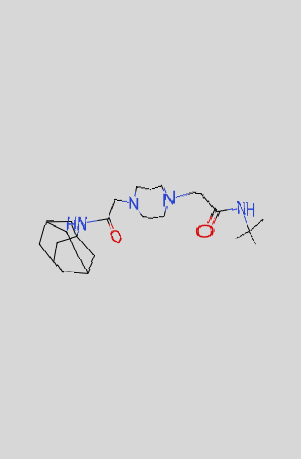 CC(C)(C)NC(=O)CN1CCN(CC(=O)NC23CC4CC(CC(C4)C2)C3)CC1